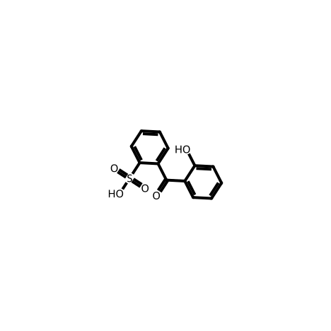 O=C(c1ccccc1O)c1ccccc1S(=O)(=O)O